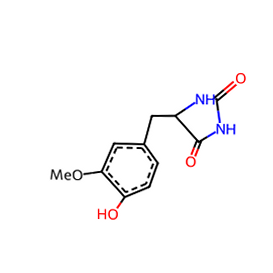 COc1cc(CC2NC(=O)NC2=O)ccc1O